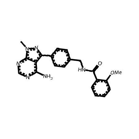 COc1ccccc1C(=O)NCc1ccc(-c2nn(C)c3ncnc(N)c23)cc1